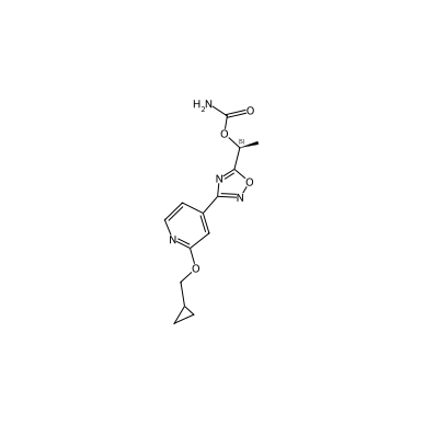 C[C@H](OC(N)=O)c1nc(-c2ccnc(OCC3CC3)c2)no1